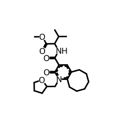 COC(=O)C(NC(=O)c1cc2c(n(CC3CCCO3)c1=O)CCCCCC2)C(C)C